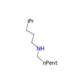 CCCCCCNCCCC(C)C